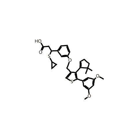 COc1cc(OC)cc(-c2scc(COc3cccc(C(CC(=O)O)SC4CC4)c3)c2C2=CCCC2(C)C)c1